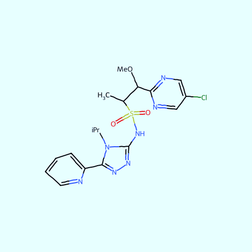 COC(c1ncc(Cl)cn1)C(C)S(=O)(=O)Nc1nnc(-c2ccccn2)n1C(C)C